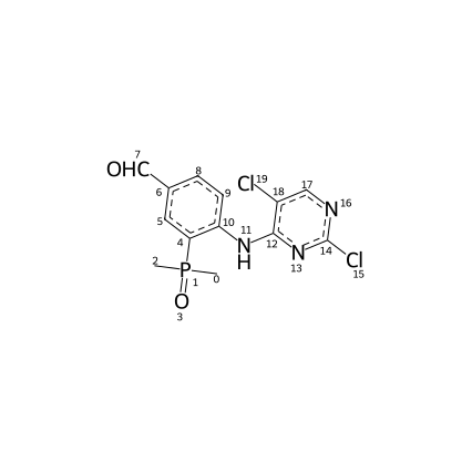 CP(C)(=O)c1cc(C=O)ccc1Nc1nc(Cl)ncc1Cl